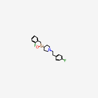 [O-][S+](Cc1ccccc1F)C1CCN(CCc2ccc(F)cc2)CC1